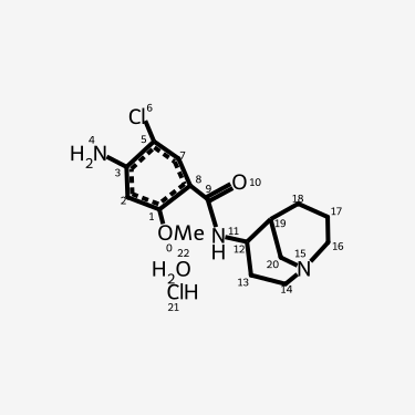 COc1cc(N)c(Cl)cc1C(=O)NC1CCN2CCCC1C2.Cl.O